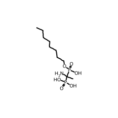 CCCCCCCCOP(=O)(O)C(C)(N)P(=O)(O)O